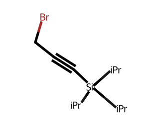 CC(C)[Si](C#CCBr)(C(C)C)C(C)C